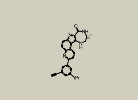 C#Cc1cc(-c2ccc3c(ccc4sc5c(c43)NC[C@@H](C)NC5=O)n2)cc(C(C)C)c1